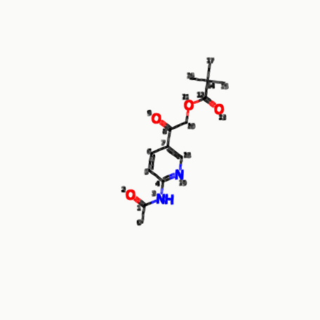 CC(=O)Nc1ccc(C(=O)COC(=O)C(C)(C)C)cn1